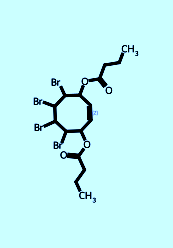 CCCC(=O)OC1/C=C\C(OC(=O)CCC)C(Br)C(Br)C(Br)C1Br